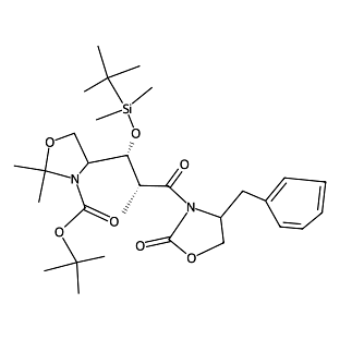 C[C@@H](C(=O)N1C(=O)OCC1Cc1ccccc1)[C@@H](O[Si](C)(C)C(C)(C)C)C1COC(C)(C)N1C(=O)OC(C)(C)C